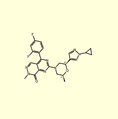 C[C@H]1CN(c2nc(-c3ccc(F)cc3F)c3cnn(C)c(=O)c3n2)C[C@@H](c2cnn(C3CC3)c2)O1